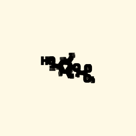 COC(=O)COc1c(C)cc(CO)cc1C